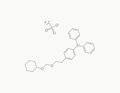 O=S(=O)([O-])C(F)(F)F.c1ccc([S+](c2ccccc2)c2ccc(CCOCOC3CCCCC3)cc2)cc1